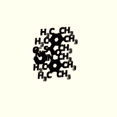 Cc1c(C)c(C)c(NC(=O)C(Sc2cccc[n+]2[O-])c2c(C)c(C)c(C)c(C)c2C)c(C)c1C